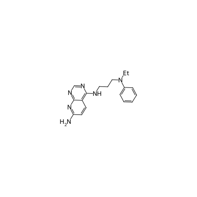 CCN(CCCNc1ncnc2nc(N)ccc12)c1ccccc1